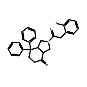 O=C1CCC(c2ccccc2)(c2ccccc2)C2CN(C(=O)Cc3ccccc3F)CC12